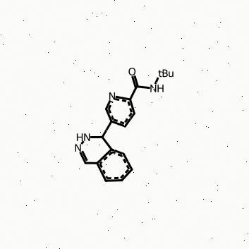 CC(C)(C)NC(=O)c1ccc(C2NN=Cc3ccccc32)cn1